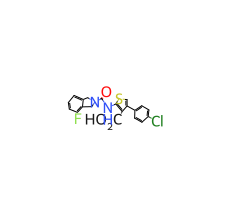 O=C(O)c1c(-c2ccc(Cl)cc2)csc1NC(=O)N1Cc2cccc(F)c2C1